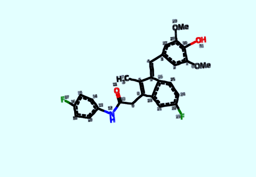 COc1cc(/C=C2/C(C)=C(CC(=O)Nc3ccc(F)cc3)c3cc(F)ccc32)cc(OC)c1O